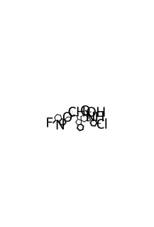 C[C@@H](COc1ccnc2c1CCC/C2=C\F)CC1Cc2ccccc2C12CCC(Nc1cccc(Cl)c1)(C(=O)O)CC2